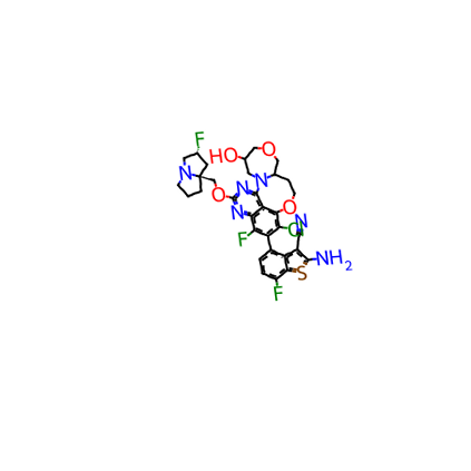 N#Cc1c(N)sc2c(F)ccc(-c3c(Cl)c4c5c(nc(OC[C@@]67CCCN6C[C@H](F)C7)nc5c3F)N3CC(O)COCC3CCO4)c12